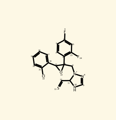 Fc1ccc(C2(CN3N=CNC3C=S)OC2c2ccccc2Cl)c(F)c1